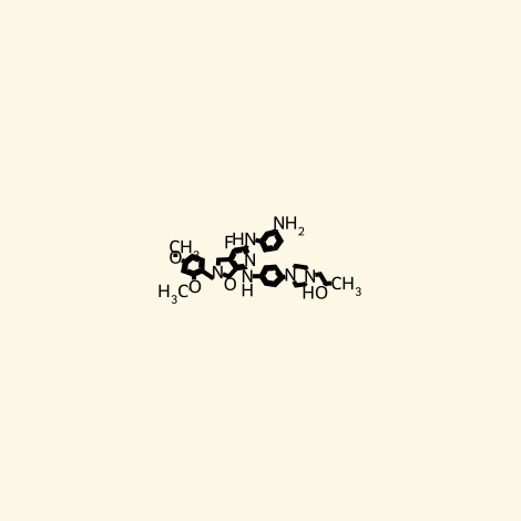 COc1ccc(CN2Cc3c(F)c(Nc4cccc(N)c4)nc(Nc4ccc(N5CCN(CC(C)O)CC5)cc4)c3C2=O)c(OC)c1